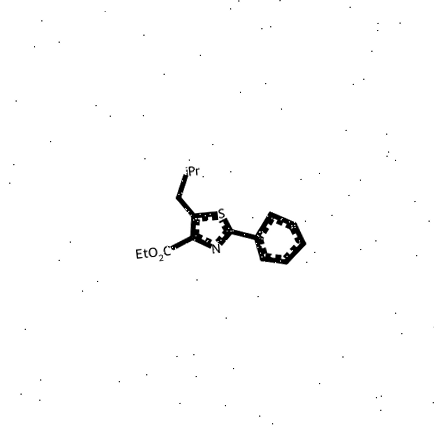 CCOC(=O)c1nc(-c2ccccc2)sc1CC(C)C